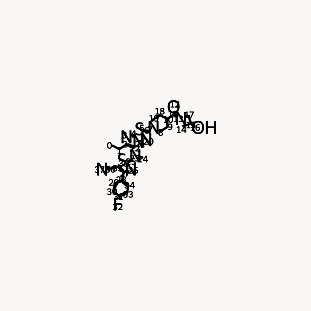 CCc1nc2sc(N3CCC(C(=O)N4CC(O)C4)CC3)nn2c1N(C)c1nc(-c2ccc(F)cc2)c(C#N)s1